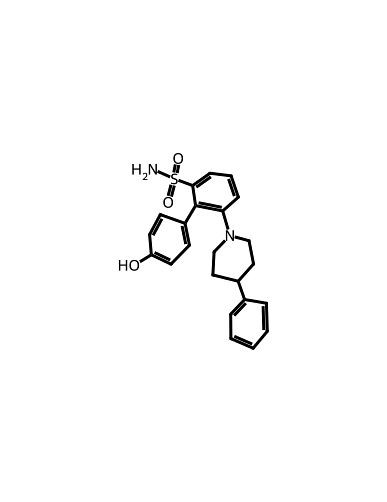 NS(=O)(=O)c1cccc(N2CCC(c3ccccc3)CC2)c1-c1ccc(O)cc1